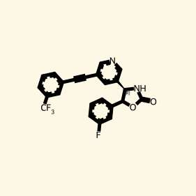 O=C1N[C@H](c2cncc(C#Cc3cccc(C(F)(F)F)c3)c2)C(c2cccc(F)c2)O1